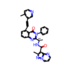 Cc1ccncc1C#Cc1cccc2nc([C@@H](C)NC(=O)c3c(C)nn4cccnc34)n(-c3ccccc3)c(=O)c12